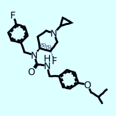 CC(C)COc1ccc(CNC(=O)N(Cc2ccc(F)cc2)[C@H]2CCN(C3CC3)C[C@@H]2F)cc1